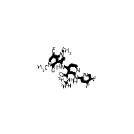 [2H]C([2H])([2H])NC(=O)c1c(Nc2cn(C)c3c(F)cn(C)c(=O)c23)ccnc1Nc1cc(F)c(F)cn1